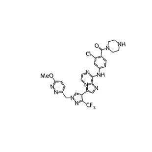 COc1ccc(Cn2cc(-c3cnc4c(Nc5ccc(C(=O)N6CCNCC6)c(Cl)c5)nccn34)c(C(F)(F)F)n2)nn1